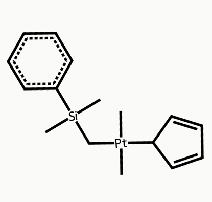 C[Si](C)([CH2][Pt]([CH3])([CH3])[CH]1C=CC=C1)c1ccccc1